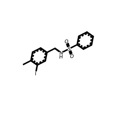 Cc1ccc(CNS(=O)(=O)c2ccccc2)cc1I